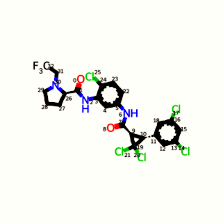 O=C(Nc1cc(NC(=O)[C@H]2[C@H](c3cc(Cl)cc(Cl)c3)C2(Cl)Cl)ccc1Cl)[C@H]1CCCN1CC(F)(F)F